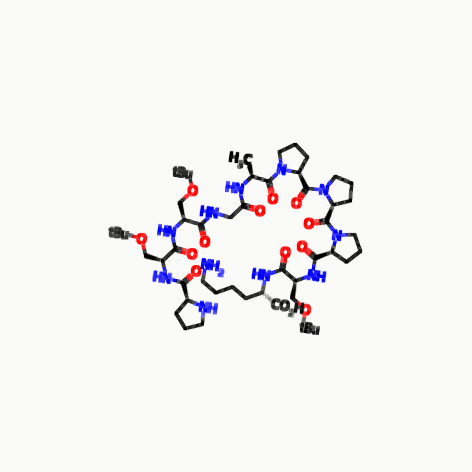 C[C@H](NC(=O)CNC(=O)[C@H](COC(C)(C)C)NC(=O)[C@H](COC(C)(C)C)NC(=O)[C@@H]1CCCN1)C(=O)N1CCC[C@H]1C(=O)N1CCC[C@H]1C(=O)N1CCC[C@H]1C(=O)N[C@@H](COC(C)(C)C)C(=O)N[C@@H](CCCCN)C(=O)O